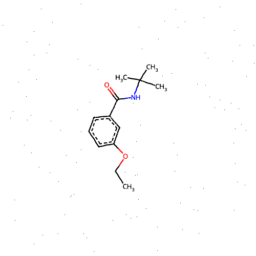 CCOc1cccc(C(=O)NC(C)(C)C)c1